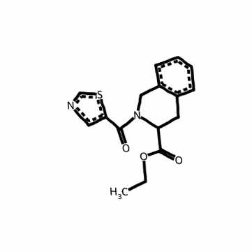 CCOC(=O)C1Cc2ccccc2CN1C(=O)c1cncs1